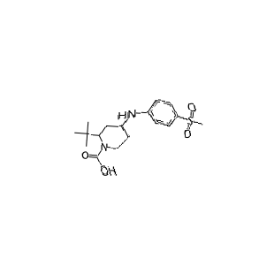 CC(C)(C)C1CC(Nc2ccc(S(C)(=O)=O)cc2)CCN1C(=O)O